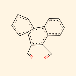 O=Cc1c(C=O)c2ccccc2c2ccccc12